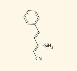 N#CC=C([SiH3])C=Cc1ccccc1